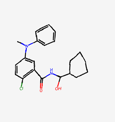 CN(c1ccccc1)c1ccc(Cl)c(C(=O)NC(O)C2CCCCC2)c1